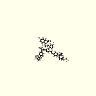 CC(=O)OC(CC[C@H]1C(=O)N(c2ccc(OS(=O)(=O)C(F)(F)F)cc2)[C@@H]1c1ccc(C=Cc2ccc(C3(O)COC(C)(C)OC3)cc2)cc1OCc1ccccc1)c1ccc(F)cc1